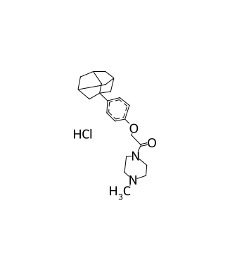 CN1CCN(C(=O)COc2ccc(C34CC5CC(CC(C5)C3)C4)cc2)CC1.Cl